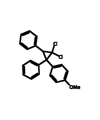 COc1ccc(C2(c3ccccc3)C(c3ccccc3)C2(Cl)Cl)cc1